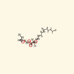 CCCCCC(C)CCCCCCOC(C)(C)C(=O)OCCOC(C)CC